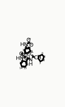 C1CCCCC1.CC(C)NCc1ccccc1NS(=O)(=O)c1ccc2oc(=O)[nH]c2c1